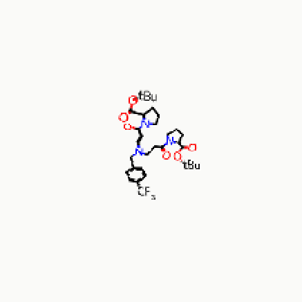 CC(C)(C)OC(=O)C1CCCN1C(=O)CCN(CCC(=O)N1CCCC1C(=O)OC(C)(C)C)Cc1ccc(C(F)(F)F)cc1